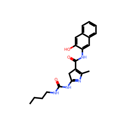 CCCCNC(=O)NC1=NC(C)=C(C(=O)Nc2cc3ccccc3cc2O)C1